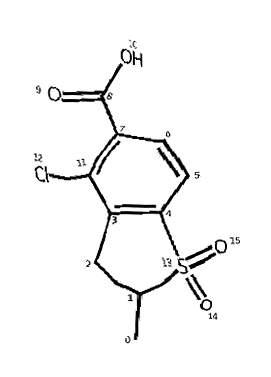 CC1Cc2c(ccc(C(=O)O)c2Cl)S1(=O)=O